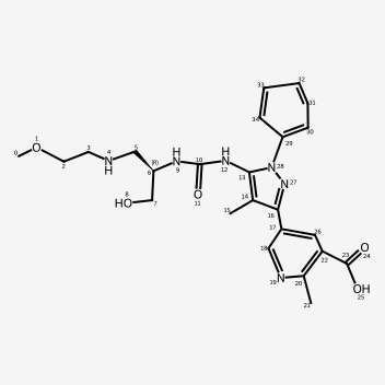 COCCNC[C@H](CO)NC(=O)Nc1c(C)c(-c2cnc(C)c(C(=O)O)c2)nn1-c1ccccc1